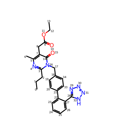 CCCc1nc(C)c(CC(=O)OCC)c(=O)n1Cc1ccc(-c2ccccc2-c2nnn[nH]2)cc1